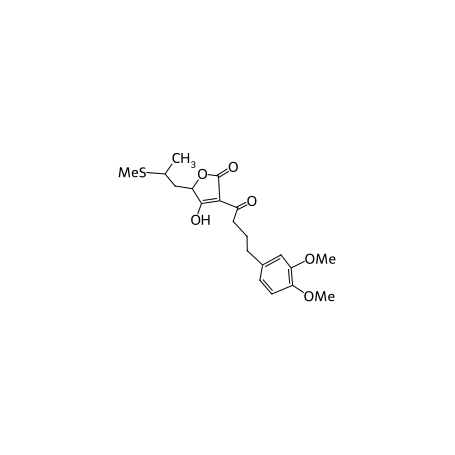 COc1ccc(CCCC(=O)C2=C(O)C(CC(C)SC)OC2=O)cc1OC